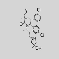 C=CC[C@@]1(C)C[C@H](c2cccc(Cl)c2)[C@@H](c2ccc(Cl)cc2)N([C@@H](C)CCNCC(C)(C)O)C1=O